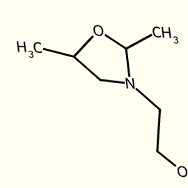 CC1CN(CCO)C(C)O1